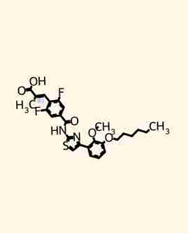 CCCCCCOc1cccc(-c2csc(NC(=O)c3cc(F)c(/C=C(\C)C(=O)O)c(F)c3)n2)c1OC